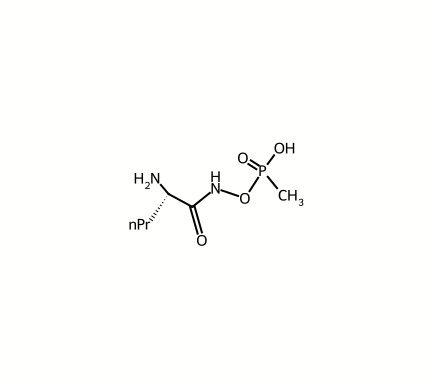 CCC[C@H](N)C(=O)NOP(C)(=O)O